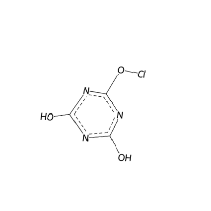 Oc1nc(O)nc(OCl)n1